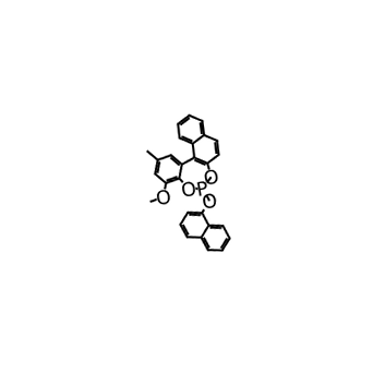 COc1cc(C)cc2c1op(Oc1cccc3ccccc13)oc1ccc3ccccc3c12